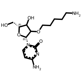 NCCCCCOC1C(O)[C@@H](CO)O[C@H]1n1ccc(N)nc1=O